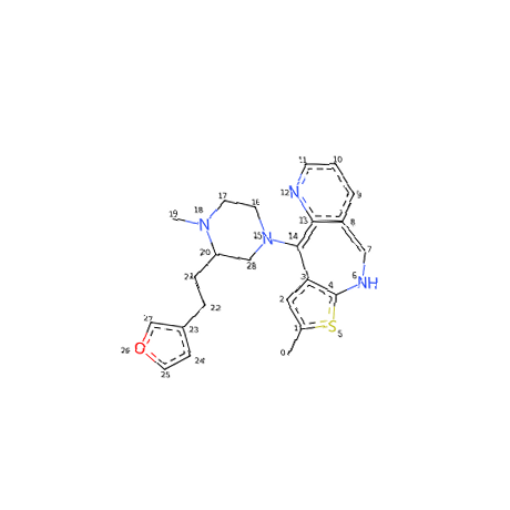 Cc1cc2c(s1)NC=c1cccnc1=C2N1CCN(C)C(CCc2ccoc2)C1